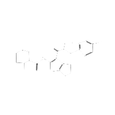 CC(Cc1ccc(Cl)cc1)C(=O)c1c(NC(=O)C2CCCCC2C(=O)O)sc2c1CCC2